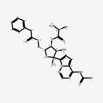 CC(C)C(=O)Nc1ncnn2c([C@]3(C)O[C@H](COC(=O)Cc4ccccc4)[C@@H](OC(=O)[C@@H](N)C(C)C)[C@H]3O)ccc12